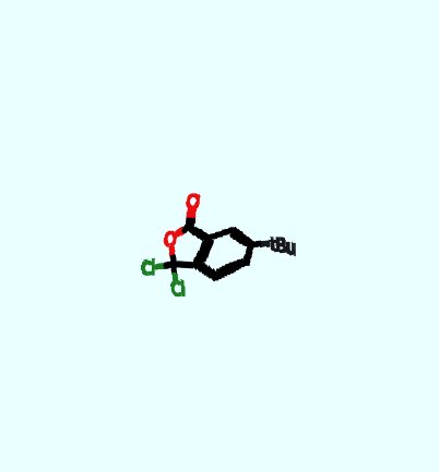 CC(C)(C)c1ccc2c(c1)C(=O)OC2(Cl)Cl